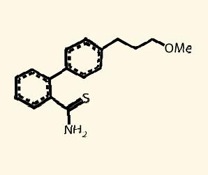 COCCCc1ccc(-c2ccccc2C(N)=S)cc1